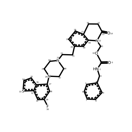 O=C(NCc1ccccc1)OCN1C(=O)CCc2ccc(CCN3CCN(c4cc(F)cc5sccc45)CC3)cc21